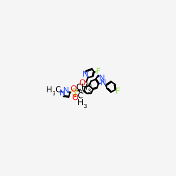 Cn1ccc(S(=O)(=O)C(C)(C)[C@H]2CCC3=Cc4c(cnn4-c4ccc(F)cc4)C[C@]3(C(=O)c3cc(F)ccn3)C2)n1